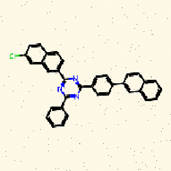 Clc1ccc2ccc(-c3nc(-c4ccccc4)nc(-c4ccc(-c5ccc6ccccc6c5)cc4)n3)cc2c1